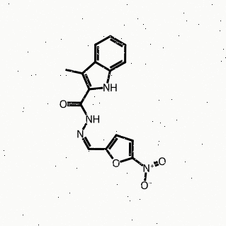 Cc1c(C(=O)N/N=C\c2ccc([N+](=O)[O-])o2)[nH]c2ccccc12